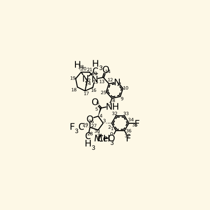 COc1c([C@H]2[C@H](C(=O)Nc3ccnc(C(=O)N4CC5CC[C@@H](C4)N(C)C5)c3)O[C@@](C)(C(F)(F)F)[C@H]2C)ccc(F)c1F